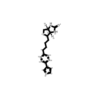 O=C1N[C@H]2CSC(CCCCc3nnc(-c4ccoc4)nn3)[C@H]2N1